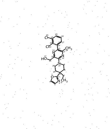 CCC1(c2ncco2)CCN(c2nc(C)c(-c3cccc(Cl)c3Cl)nc2CO)CC1